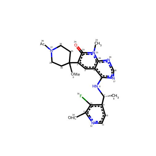 COC1(c2cc3c(N[C@H](C)c4ccnc(C=O)c4F)ncnc3n(C)c2=O)CCN(C(C)=O)CC1